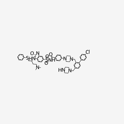 CN(C)CCC(CSc1ccccc1)Nc1ccc(S(=O)(=O)NC(=O)c2ccc(N3CCN(Cc4cc(CN5CCNCC5)ccc4-c4ccc(Cl)cc4)CC3)cc2)cc1[N+](=O)[O-]